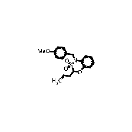 C=CCC1Oc2ccccc2N(Cc2ccc(OC)cc2)S1(=O)=O